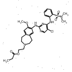 CCC(=O)OCCN1CCc2cc(Nc3ncc(Cl)c(Nc4ccccc4S(=O)(=O)N(C)C)n3)c(OC)cc2CC1